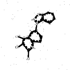 CCc1c(Cl)nc2ccc(-n3nnc4ccccc43)cc2c1Cl